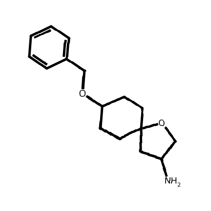 NC1COC2(CCC(OCc3ccccc3)CC2)C1